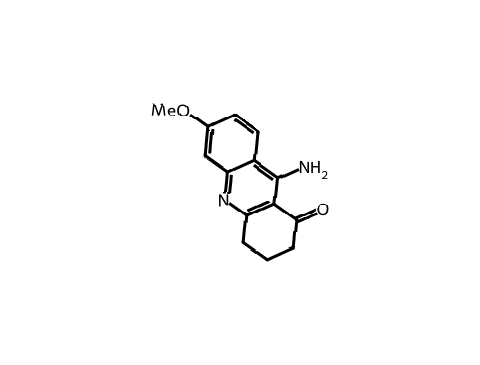 COc1ccc2c(N)c3c(nc2c1)CCCC3=O